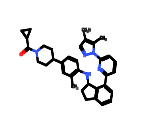 Cc1cc(C2CCN(C(=O)C3CC3)CC2)ccc1N[C@@H]1CCc2cccc(-c3cccc(-n4ncc(C(=O)O)c4C)n3)c21